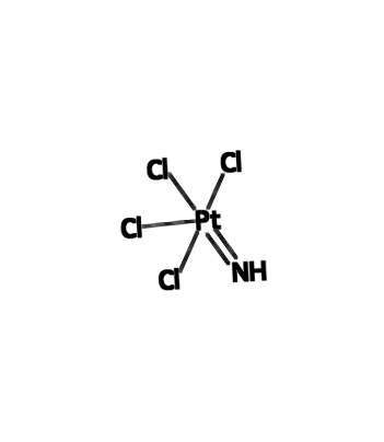 [NH]=[Pt]([Cl])([Cl])([Cl])[Cl]